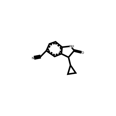 N#Cc1ccc2c(c1)C(C1CC1)C(=O)N2